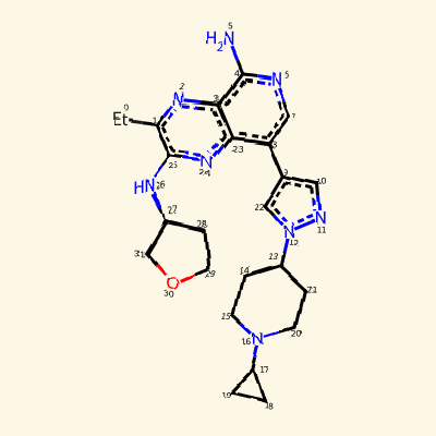 CCc1nc2c(N)ncc(-c3cnn(C4CCN(C5CC5)CC4)c3)c2nc1N[C@H]1CCOC1